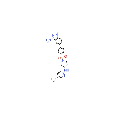 Cn1nc(N)c2cc(-c3ccc(S(=O)(=O)N4CCC(Nc5ccc(C(F)(F)F)cn5)CC4)cc3)ccc21